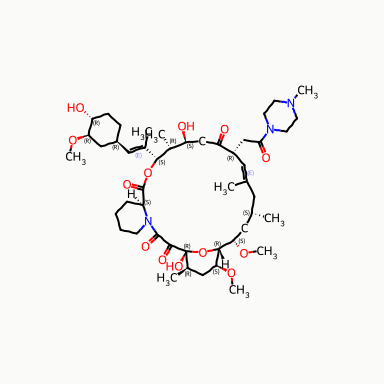 CO[C@H]1C[C@@H](C)C/C(C)=C/[C@@H](CC(=O)N2CCN(C)CC2)C(=O)C[C@H](O)[C@@H](C)[C@@H](/C(C)=C/[C@@H]2CC[C@@H](O)[C@H](OC)C2)OC(=O)[C@@H]2CCCCN2C(=O)C(=O)[C@]2(O)O[C@H]1[C@@H](OC)C[C@H]2C